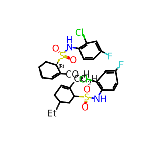 CCC1CC=C(C(=O)O)C(S(=O)(=O)Nc2ccc(F)cc2Cl)C1.O=C(O)C1=CCCC[C@H]1S(=O)(=O)Nc1ccc(F)cc1Cl